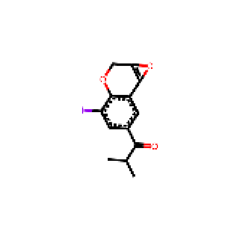 CC(C)C(=O)c1cc(I)c2c(c1)C1=C(CO2)O1